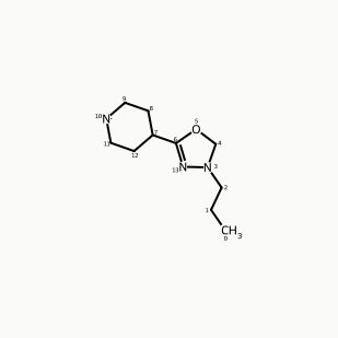 CCCN1COC(C2CC[N]CC2)=N1